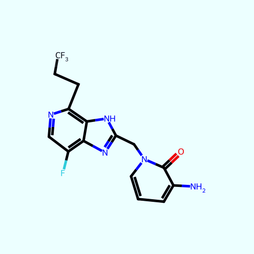 Nc1cccn(Cc2nc3c(F)cnc(CCC(F)(F)F)c3[nH]2)c1=O